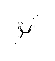 [C]C(=O)C=C.[Co]